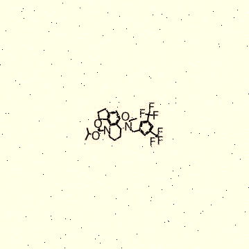 CC(=O)N(Cc1cc(C(F)(F)F)cc(C(F)(F)F)c1)[C@@H]1CCCN(C(=O)OC(C)C)c2c1ccc1c2CCC1